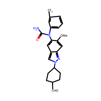 COc1cc2nn(C3CCC(C=O)CC3)cc2cc1N(C(N)=O)c1cccc(C(F)(F)F)c1